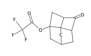 O=C1C2CC3CC4(OC(=O)C(F)(F)F)CC1C24C3